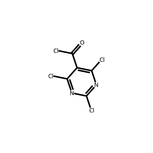 O=C(Cl)c1c(Cl)nc(Cl)nc1Cl